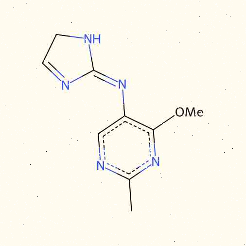 COc1nc(C)ncc1N=C1N=CCN1